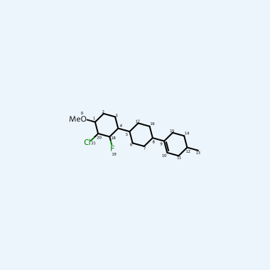 COC1CCC(C2CCC(C3=CCC(C)CC3)CC2)C(F)C1Cl